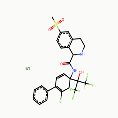 CS(=O)(=O)c1ccc2c(c1)CCNC2C(=O)NC1(C(O)(C(F)(F)F)C(F)(F)F)C=CC(c2ccccc2)=C(Cl)C1.Cl